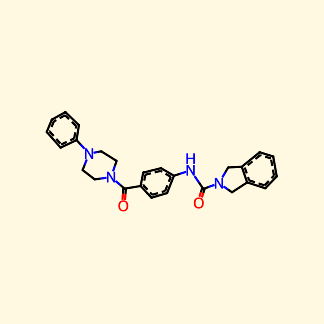 O=C(Nc1ccc(C(=O)N2CCN(c3ccccc3)CC2)cc1)N1Cc2ccccc2C1